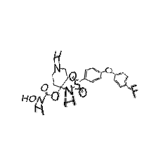 O=C(NO)OC1(NS(=O)(=O)c2ccc(Oc3ccc(F)cc3)cc2)CCNCC1